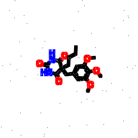 CCCCC1(Cc2cc(OC)c(OC)c(OC)c2)C(=O)NC(=O)NC1=O